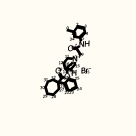 Cc1cccc(NC(=O)C[N+]23CCC(CC2)[C@@H](OC(=O)C2(c4ccccc4)CCCCCC2)C3)c1.[Br-]